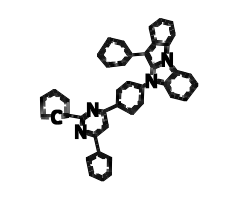 c1ccc(-c2cc(-c3ccc(-n4c5ccccc5n5c6ccccc6c(-c6ccccc6)c45)cc3)nc(-c3ccccc3)n2)cc1